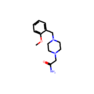 COc1ccccc1CN1CCN(CC(N)=O)CC1